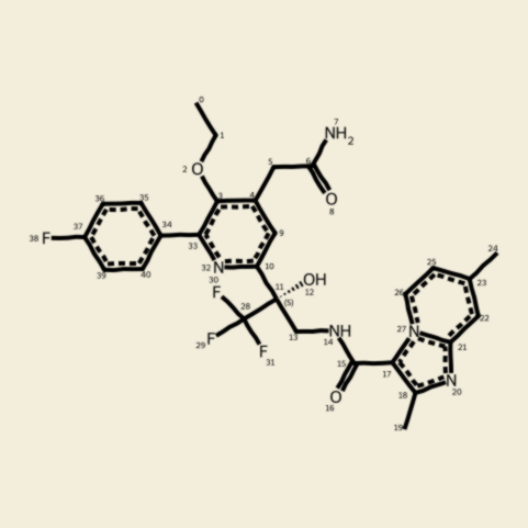 CCOc1c(CC(N)=O)cc([C@@](O)(CNC(=O)c2c(C)nc3cc(C)ccn23)C(F)(F)F)nc1-c1ccc(F)cc1